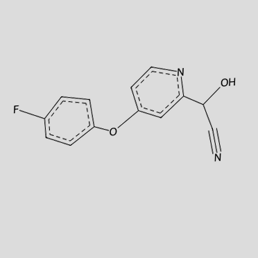 N#CC(O)c1cc(Oc2ccc(F)cc2)ccn1